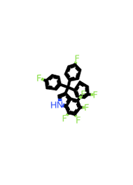 Fc1ccc(C(c2ccc(F)cc2)(c2ccc(F)cc2)c2c[nH]c3c(F)c(F)c(F)c(F)c23)cc1